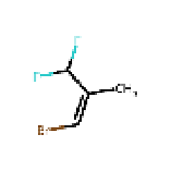 CC(=CBr)C(F)F